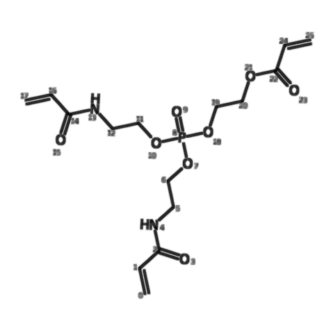 C=CC(=O)NCCOP(=O)(OCCNC(=O)C=C)OCCOC(=O)C=C